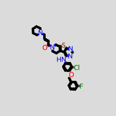 O=C(C=CCN1CCCCC1)N1CCc2c(sc3ncnc(Nc4ccc(OCc5cccc(F)c5)c(Cl)c4)c23)C1